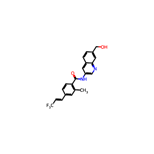 Cc1cc(/C=C/C(F)(F)F)ccc1C(=O)Nc1cnc2cc(CO)ccc2c1